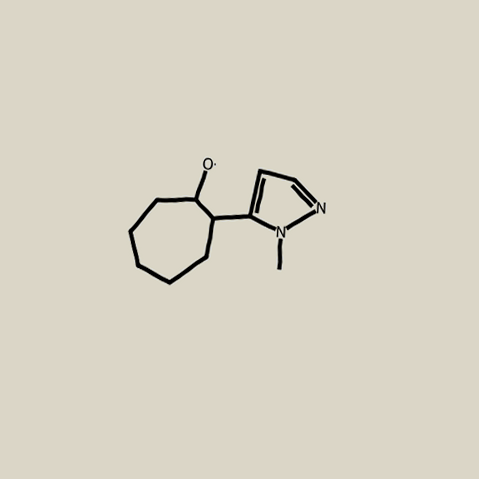 Cn1nccc1C1CCCCCC1[O]